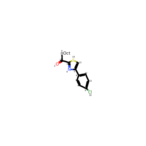 CCCCCCCCC(=O)c1nc(-c2ccc(Cl)cc2)cs1